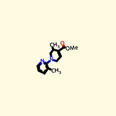 COC(=O)C1=CCN(c2ncccc2C)CC1C